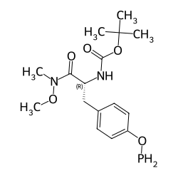 CON(C)C(=O)[C@@H](Cc1ccc(OP)cc1)NC(=O)OC(C)(C)C